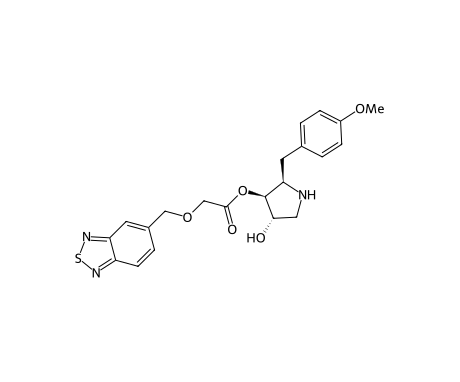 COc1ccc(C[C@H]2NC[C@H](O)[C@H]2OC(=O)COCc2ccc3nsnc3c2)cc1